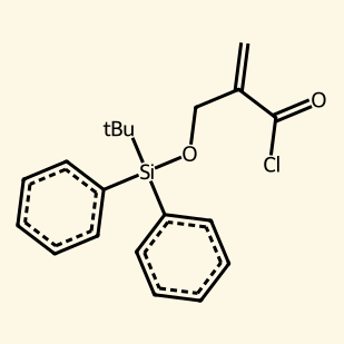 C=C(CO[Si](c1ccccc1)(c1ccccc1)C(C)(C)C)C(=O)Cl